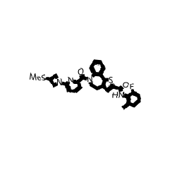 CSC1CN(c2cccc(C(=O)N3CCc4cc(C(=O)Nc5c(C)cccc5F)sc4-c4ccccc43)n2)C1